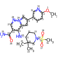 COc1ccc(-c2cc3c(N[C@@H]4CCN(S(C)(=O)=O)CC4(C)C)c(C(N)=O)cnn3c2)cn1